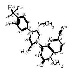 CC[C@@H]1CN(c2nc(=O)n(C)c3ccc(C#N)nc23)C(C)CN1c1ccc(C(F)(F)F)c(F)c1